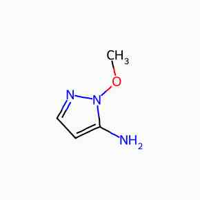 COn1nccc1N